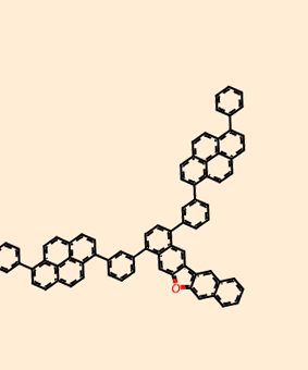 c1ccc(-c2ccc3ccc4c(-c5cccc(-c6ccc(-c7cccc(-c8ccc9ccc%10c(-c%11ccccc%11)ccc%11ccc8c9c%11%10)c7)c7cc8c(cc67)oc6cc7ccccc7cc68)c5)ccc5ccc2c3c54)cc1